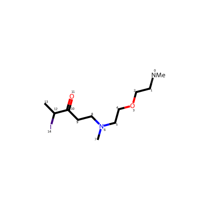 CNCCOCCN(C)CCC(=O)C(C)I